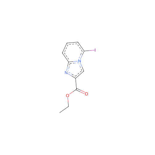 CCOC(=O)c1cn2c(I)cccc2n1